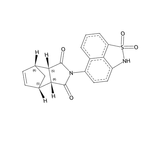 O=C1[C@@H]2[C@H](C(=O)N1c1ccc3c4c(cccc14)S(=O)(=O)N3)[C@@H]1C=C[C@H]2C1